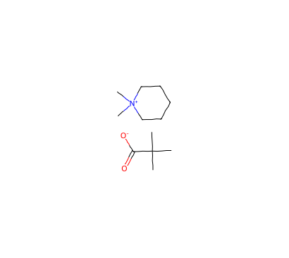 CC(C)(C)C(=O)[O-].C[N+]1(C)CCCCC1